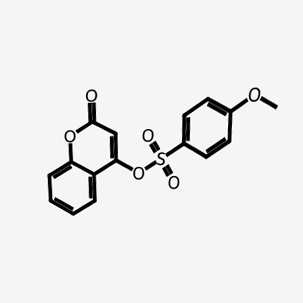 COc1ccc(S(=O)(=O)Oc2cc(=O)oc3ccccc23)cc1